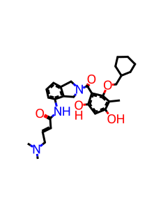 Cc1c(O)cc(O)c(C(=O)N2Cc3cccc(NC(=O)/C=C/CN(C)C)c3C2)c1OCC1CCCCC1